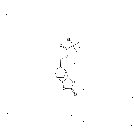 CCC(C)(C)C(=O)OCC1CC2CC1C1OC(=O)OC21